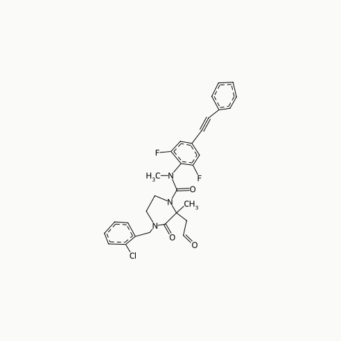 CN(C(=O)N1CCN(Cc2ccccc2Cl)C(=O)C1(C)CC=O)c1c(F)cc(C#Cc2ccccc2)cc1F